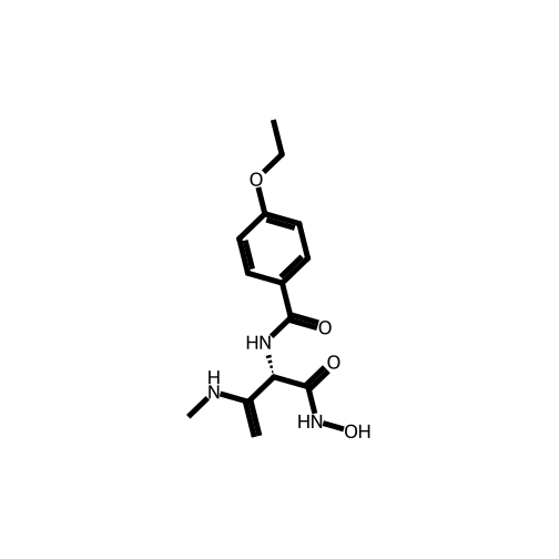 C=C(NC)[C@H](NC(=O)c1ccc(OCC)cc1)C(=O)NO